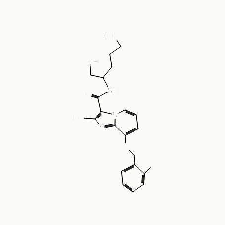 CCCCC(CO)NC(=O)c1c(C)nc2c(OCc3ccccc3F)cccn12